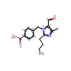 CCCCc1nc(I)c(C=O)n1Cc1ccc(C(=O)O)cc1